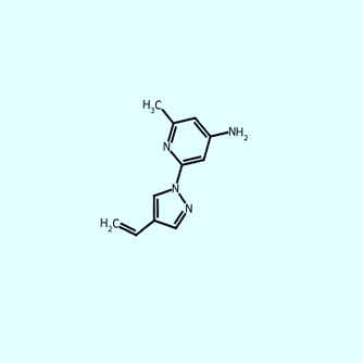 C=Cc1cnn(-c2cc(N)cc(C)n2)c1